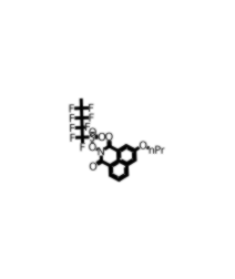 CCCOc1cc2c3c(cccc3c1)C(=O)N(OS(=O)(=O)C(F)(F)C(F)(F)C(F)(F)C(C)(F)F)C2=O